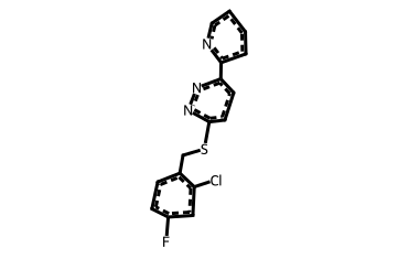 Fc1ccc(CSc2ccc(-c3ccccn3)nn2)c(Cl)c1